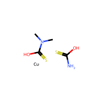 CN(C)C(O)=S.NC(O)=S.[Cu]